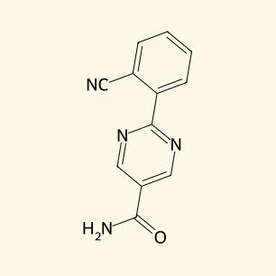 N#Cc1ccccc1-c1ncc(C(N)=O)cn1